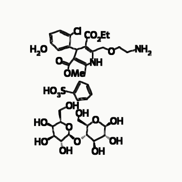 CCOC(=O)C1=C(COCCN)NC(C)=C(C(=O)OC)C1c1ccccc1Cl.O.O=S(=O)(O)c1ccccc1.OC[C@H]1O[C@@H](O[C@H]2[C@H](O)[C@@H](O)[C@H](O)O[C@@H]2CO)[C@H](O)[C@@H](O)[C@H]1O